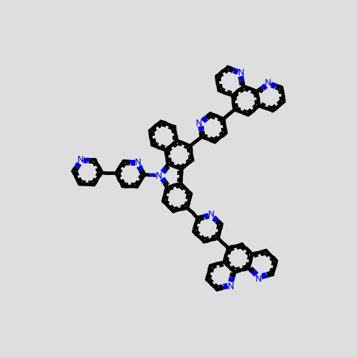 c1cncc(-c2ccc(-n3c4ccc(-c5ccc(-c6cc7cccnc7c7ncccc67)cn5)cc4c4cc(-c5ccc(-c6cc7cccnc7c7ncccc67)cn5)c5ccccc5c43)nc2)c1